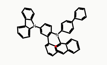 c1ccc(-c2ccc(N(c3ccc(-n4c5ccccc5c5ccccc54)cc3-c3ccccc3)c3cccc4ccccc34)cc2)cc1